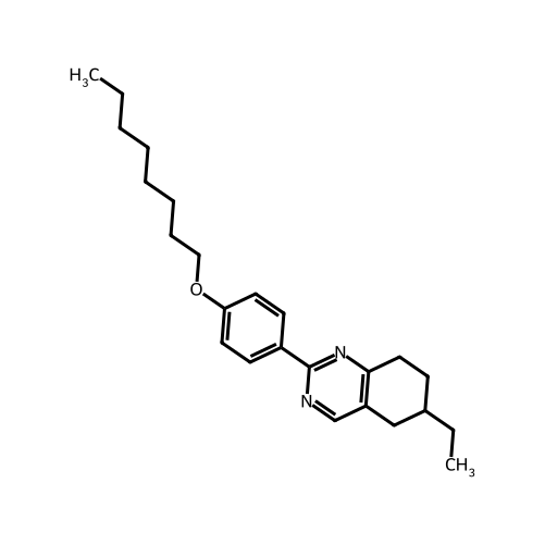 CCCCCCCCOc1ccc(-c2ncc3c(n2)CCC(CC)C3)cc1